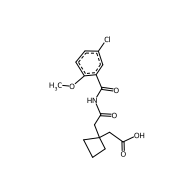 COc1ccc(Cl)cc1C(=O)NC(=O)CC1(CC(=O)O)CCC1